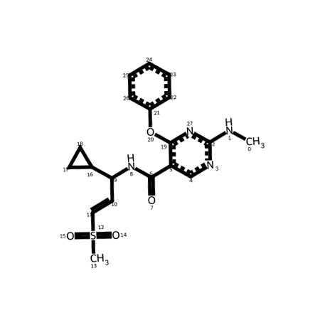 CNc1ncc(C(=O)NC(/C=C/S(C)(=O)=O)C2CC2)c(Oc2ccccc2)n1